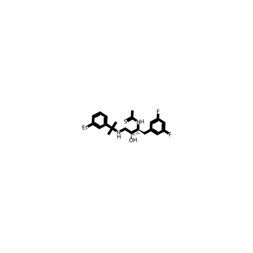 CCc1cccc(C(C)(C)NC[C@@H](O)[C@H](Cc2cc(F)cc(F)c2)NC(C)=S)c1